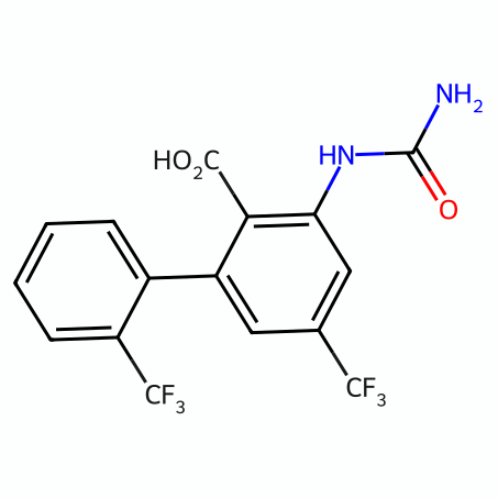 NC(=O)Nc1cc(C(F)(F)F)cc(-c2ccccc2C(F)(F)F)c1C(=O)O